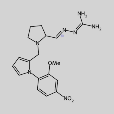 COc1cc([N+](=O)[O-])ccc1-n1cccc1CN1CCCC1/C=N/N=C(N)N